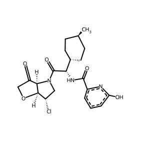 C[C@H]1CC[C@H]([C@H](NC(=O)c2cccc(O)n2)C(=O)N2C[C@H](Cl)[C@H]3OCC(=O)[C@H]32)CC1